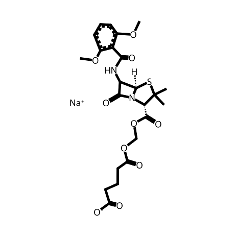 COc1cccc(OC)c1C(=O)NC1C(=O)N2[C@@H]1SC(C)(C)[C@@H]2C(=O)OCOC(=O)CCCC(=O)[O-].[Na+]